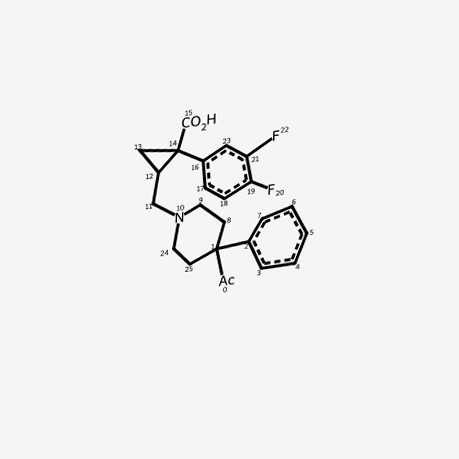 CC(=O)C1(c2ccccc2)CCN(CC2CC2(C(=O)O)c2ccc(F)c(F)c2)CC1